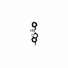 Fc1ccc2c(c1)CC[C@@H](NCc1ccccc1)O2